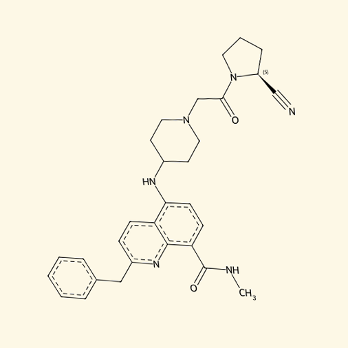 CNC(=O)c1ccc(NC2CCN(CC(=O)N3CCC[C@H]3C#N)CC2)c2ccc(Cc3ccccc3)nc12